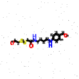 O=CCSSCC(=O)NCCCCNc1ccc(C=O)cc1